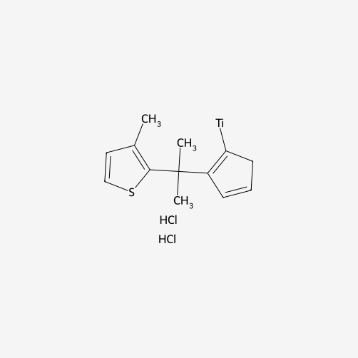 Cc1ccsc1C(C)(C)C1=[C]([Ti])CC=C1.Cl.Cl